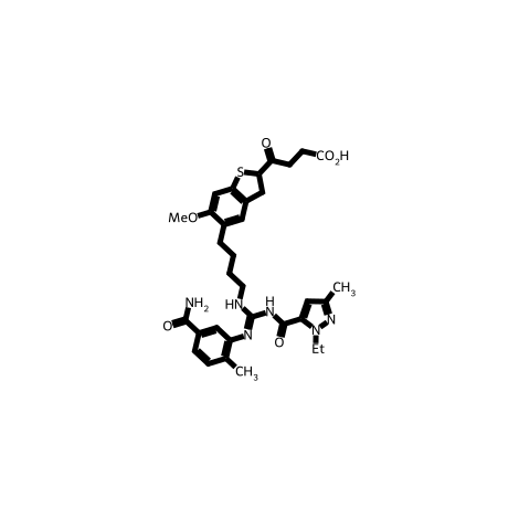 CCn1nc(C)cc1C(=O)N/C(=N/c1cc(C(N)=O)ccc1C)NCCCCc1cc2c(cc1OC)SC(C(=O)CCC(=O)O)C2